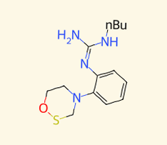 CCCCNC(N)=Nc1ccccc1N1CCOSC1